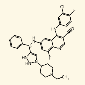 CCN1CCC(N2C=C([C@@H](Nc3cc(F)c4ncc(C#N)c(Nc5ccc(F)c(Cl)c5)c4c3)c3ccccc3)NN2)CC1